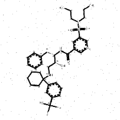 CCCN(CCC)S(=O)(=O)c1cncc(C(=O)N[C@@H](Cc2ccccc2)[C@H](O)CNC2(c3cccc(C(F)(F)F)c3)CCCCC2)c1